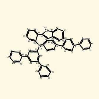 c1ccc(-c2ccc(-c3ccc(N(c4cc(-c5ccccc5)cc(-c5ccccc5)c4)c4ccccc4-c4cc5ccccc5o4)cc3)cc2)cc1